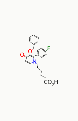 O=C(O)CCCCCn1ccc(=O)c(OCc2ccccc2)c1-c1ccc(F)cc1